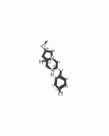 CO[C@@H]1C[C@H]2CN[C@@H](Cc3ccc(Cl)cc3)CN2C1